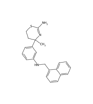 CC1(c2cccc(NCc3cccc4ccccc34)c2)CCSC(N)=N1